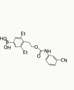 CCc1cc(B(O)O)cc(CC)c1CCOC(=O)Nc1cccc(C#N)c1